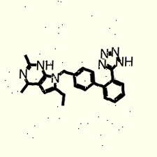 CCc1cc2c(n1Cc1ccc(-c3ccccc3-c3nnn[nH]3)cc1)NC(C)=NC2C